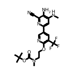 CNc1cc(-c2cnc(OCCN(C)C(=O)OC(C)(C)C)c(C(F)(F)F)c2)nc(C#N)c1N